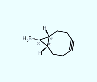 B[C@H]1[C@H]2CCC#CCC[C@@H]12